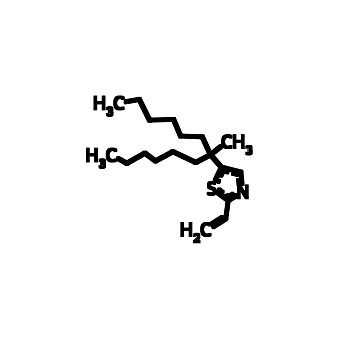 C=Cc1ncc(C(C)(CCCCCC)CCCCCC)s1